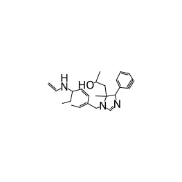 C=CNC(/C=C\C(=C/C)CN1C=NC(c2c#cccc2)C1(C)CC(C)O)CC